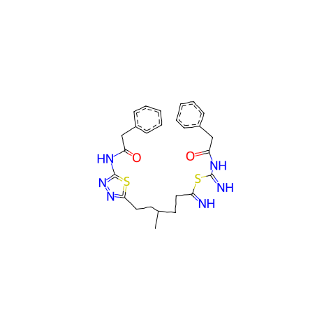 CC(CCC(=N)SC(=N)NC(=O)Cc1ccccc1)CCc1nnc(NC(=O)Cc2ccccc2)s1